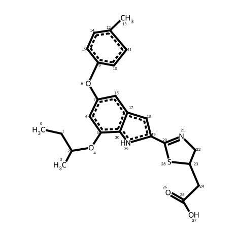 CCC(C)Oc1cc(Oc2ccc(C)cc2)cc2cc(C3=NCC(CC(=O)O)S3)[nH]c12